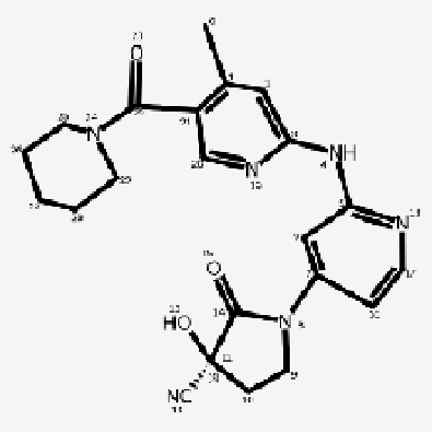 Cc1cc(Nc2cc(N3CC[C@](O)(C#N)C3=O)ccn2)ncc1C(=O)N1CCCCC1